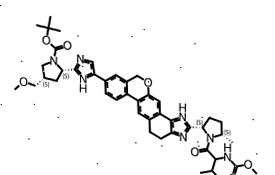 COC[C@H]1C[C@@H](c2ncc(-c3ccc4c(c3)COc3cc5c(cc3-4)CCc3nc([C@@H]4CC[C@H](C)N4C(=O)C(NC(=O)OC)C(C)C)[nH]c3-5)[nH]2)N(C(=O)OC(C)(C)C)C1